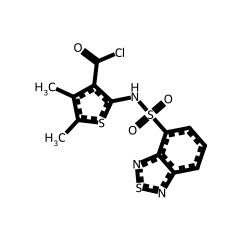 Cc1sc(NS(=O)(=O)c2cccc3nsnc23)c(C(=O)Cl)c1C